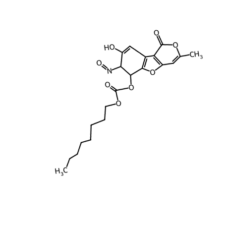 CCCCCCCCOC(=O)OC1c2oc3cc(C)oc(=O)c3c2C=C(O)C1N=O